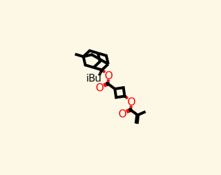 C=C(C)C(=O)OC1CC(C(=O)OC2(C(C)CC)C3CC4CC2CC(C)(C4)C3)C1